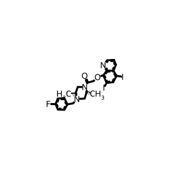 C[C@@H]1CN(Cc2ccc(F)cc2)[C@@H](C)CN1C(=O)COc1c(I)cc(I)c2cccnc12